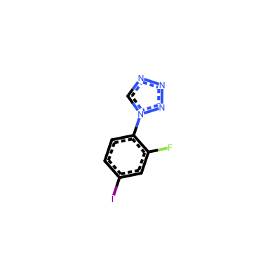 Fc1cc(I)ccc1-n1cnnn1